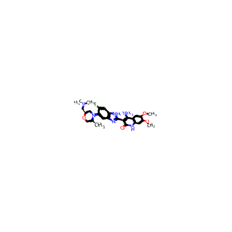 COc1cc2[nH]c(=O)c(-c3nc4cc(N5C[C@H](CN(C)C)OC[C@@H]5C)c(F)cc4[nH]3)c(N)c2cc1OC